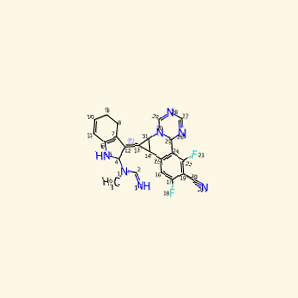 CN(C=N)C1NC2=C(CCC=C2)/C1=C1/C2c3cc(F)c(C#N)c(F)c3C3N=CN=CN3C12